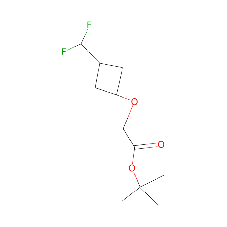 CC(C)(C)OC(=O)COC1CC(C(F)F)C1